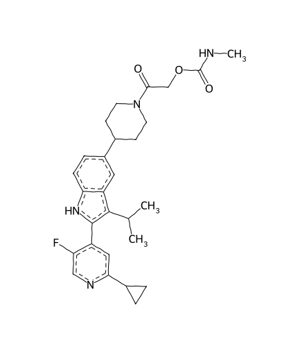 CNC(=O)OCC(=O)N1CCC(c2ccc3[nH]c(-c4cc(C5CC5)ncc4F)c(C(C)C)c3c2)CC1